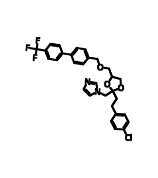 FC(F)(F)c1ccc(-c2ccc(COCC3COC(CCc4ccc(Cl)cc4)(Cn4ccnc4)O3)cc2)cc1